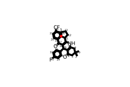 CC1(C)CC(=O)C2=C(C1)NC(C1CCCC1)=C(C(=O)c1ccc(C(F)(F)F)cc1)C2c1ccc(F)cc1